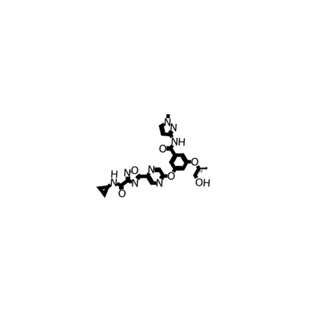 C[C@@H](CO)Oc1cc(Oc2cnc(-c3nc(C(=O)NC4CC4)no3)cn2)cc(C(=O)Nc2ccn(C)n2)c1